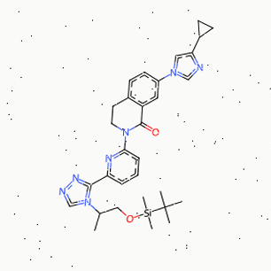 CC(CO[Si](C)(C)C(C)(C)C)n1cnnc1-c1cccc(N2CCc3ccc(-n4cnc(C5CC5)c4)cc3C2=O)n1